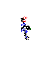 CC1(CO)COC(c2nc(-c3ccc(F)cc3)c(-c3ccnc(NCCCN4CCOCC4)n3)[nH]2)OC1